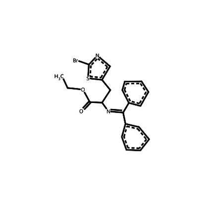 CCOC(=O)C(Cc1cnc(Br)s1)N=C(c1ccccc1)c1ccccc1